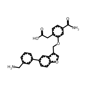 NCc1cccc(-c2ccc3occ(COc4cc(C(N)=O)ccc4CC(=O)O)c3c2)c1